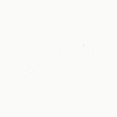 Cc1cc(N2CCC(CN3CCNCC3)CC2)ccc1N1CCC(=O)NC1=O